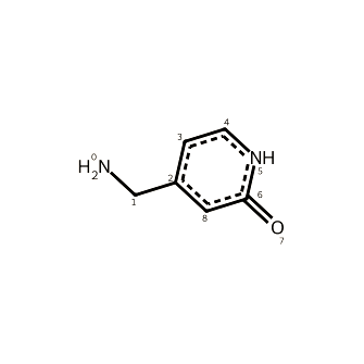 NCc1cc[nH]c(=O)c1